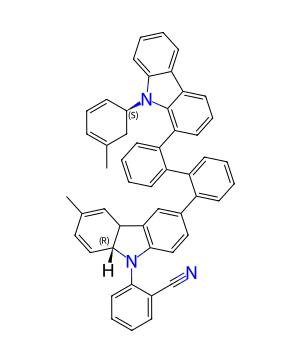 CC1=CC2c3cc(-c4ccccc4-c4ccccc4-c4cccc5c6ccccc6n([C@@H]6C=CC=C(C)C6)c45)ccc3N(c3ccccc3C#N)[C@@H]2C=C1